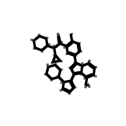 Cc1ccc(-c2cc(-c3ccnn3C3CCOCC3)c3c(N)ncnn23)cc1C(=O)N(C1CCOCC1)C1CC1